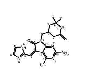 C=C1CC(CN2C(=O)/C(=C\c3ncc[nH]3)c3c(Cl)nc(N)nc32)CC(C)(C)N1